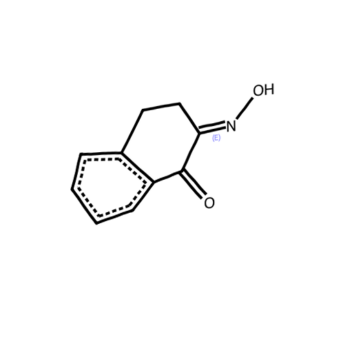 O=C1/C(=N/O)CCc2ccccc21